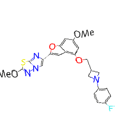 COc1cc(OCC2CN(c3ccc(F)cc3)C2)c2cc(-c3cn4nc(OC)sc4n3)oc2c1